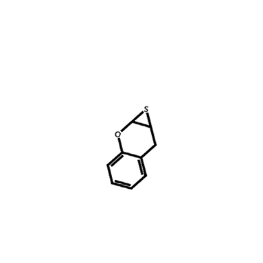 c1ccc2c(c1)CC1SC1O2